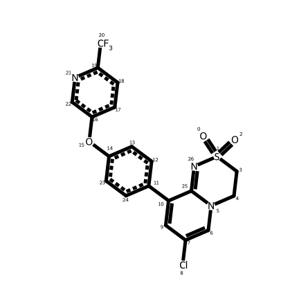 O=S1(=O)CCN2C=C(Cl)C=C(c3ccc(Oc4ccc(C(F)(F)F)nc4)cc3)C2=N1